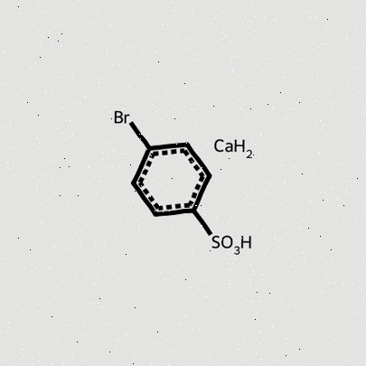 O=S(=O)(O)c1ccc(Br)cc1.[CaH2]